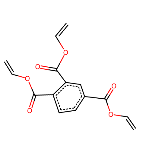 C=COC(=O)c1ccc(C(=O)OC=C)c(C(=O)OC=C)c1